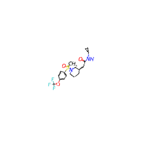 C=S(=O)(c1ccc(OC(F)(F)F)cc1)N1CCC/C(=C/C(=O)NC2CC2)C1